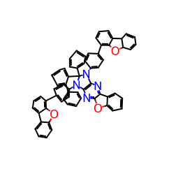 C1=CC2Oc3c(-c4ccc(N5c6nc7c(nc6N(c6ccc(-c8cccc9c8oc8ccccc89)cc6)C5(c5ccccc5)c5ccccc5-c5ccccc5)oc5ccccc57)cc4)cccc3C2C=C1